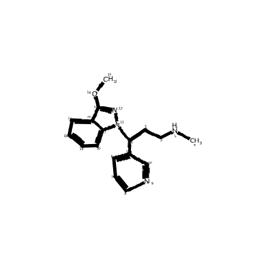 CNCCC(c1cccnc1)n1nc(OC)c2ccccc21